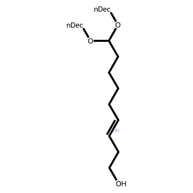 CCCCCCCCCCOC(CCCC/C=C/CCO)OCCCCCCCCCC